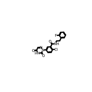 O=C(NCCc1ccccc1F)c1cc(-n2ncc(=O)[nH]c2=O)ccc1Cl